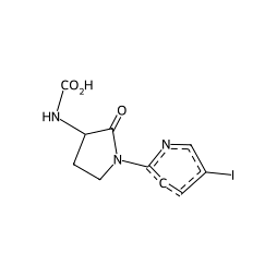 O=C(O)NC1CCN(c2ccc(I)cn2)C1=O